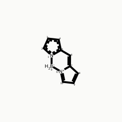 [BH2-]1n2cccc2C=C2C=CC=[N+]12